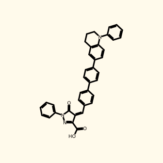 O=C(O)C1=NN(c2ccccc2)C(=O)/C1=C\c1ccc(-c2ccc(-c3ccc4c(c3)CCCN4c3ccccc3)cc2)cc1